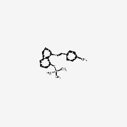 Cc1ccc(C=Nc2cccc3cccc(S[Si](C)(C)C)c23)cc1